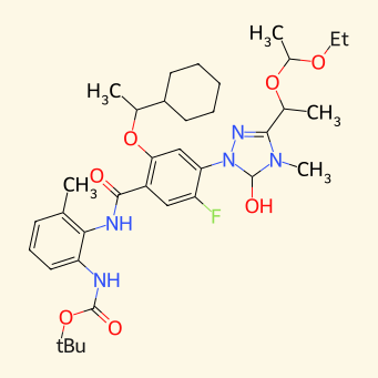 CCOC(C)OC(C)C1=NN(c2cc(OC(C)C3CCCCC3)c(C(=O)Nc3c(C)cccc3NC(=O)OC(C)(C)C)cc2F)C(O)N1C